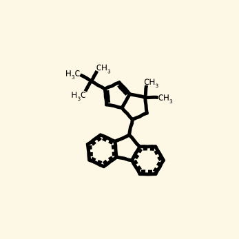 CC(C)(C)C1=CC2C(=C1)C(C)(C)CC2C1c2ccccc2-c2ccccc21